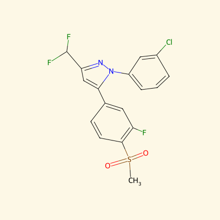 CS(=O)(=O)c1ccc(-c2cc(C(F)F)nn2-c2cccc(Cl)c2)cc1F